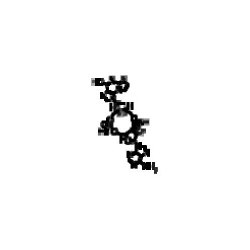 Nc1ncnc2c1ncn2[C@@H]1O[C@@H]2COP(=O)(S)OC[C@@H]3[C@@H](COP(=O)(S)[C@H]2[C@H]1F)C[C@H]3n1cnc2c(O)nc3nccn3c21